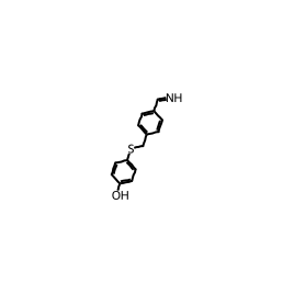 N=Cc1ccc(CSc2ccc(O)cc2)cc1